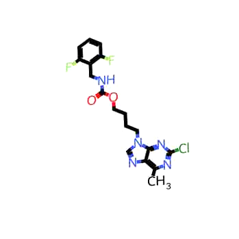 Cc1nc(Cl)nc2c1ncn2CCCCOC(=O)NCc1c(F)cccc1F